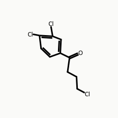 O=C(CCCCl)c1ccc(Cl)c(Cl)c1